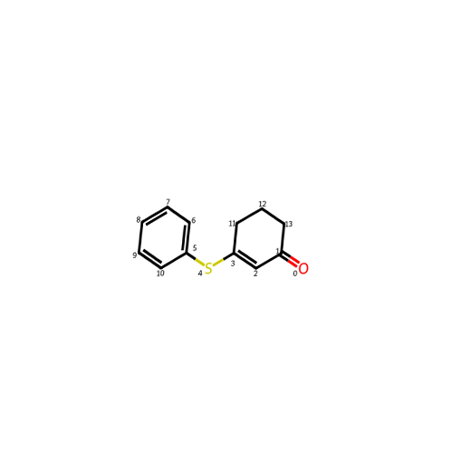 O=C1C=C(Sc2ccccc2)CCC1